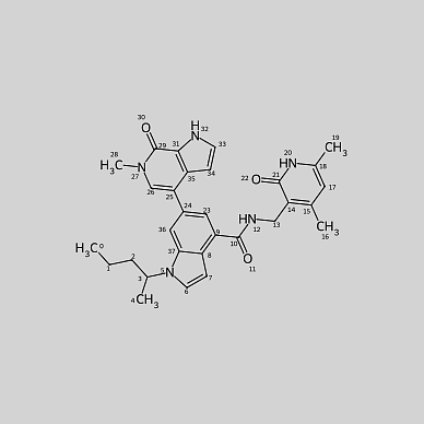 CCCC(C)n1ccc2c(C(=O)NCc3c(C)cc(C)[nH]c3=O)cc(-c3cn(C)c(=O)c4[nH]ccc34)cc21